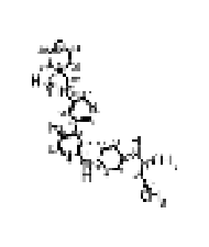 COC[C@@H](C)N[C@H]1CC[C@H](Nc2cc(-c3cncc(NCC4(C)CCOCC4)c3)c(F)cn2)CC1